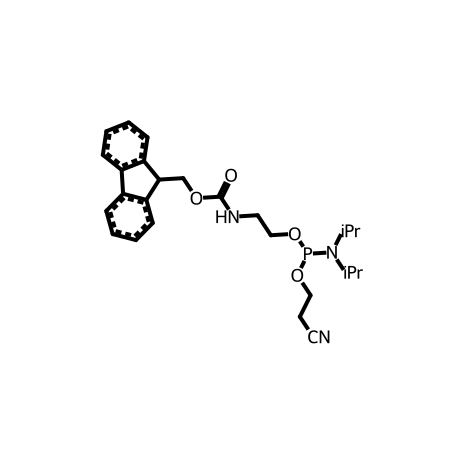 CC(C)N(C(C)C)P(OCCC#N)OCCNC(=O)OCC1c2ccccc2-c2ccccc21